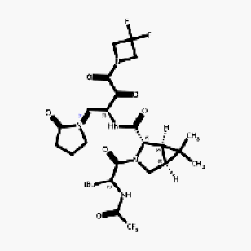 CC(C)(C)[C@H](NC(=O)C(F)(F)F)C(=O)N1C[C@H]2[C@@H]([C@H]1C(=O)N[C@@H](/C=[N+]1\CCCC1=O)C(=O)C(=O)N1CC(F)(F)C1)C2(C)C